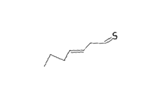 CCCC=CCC=S